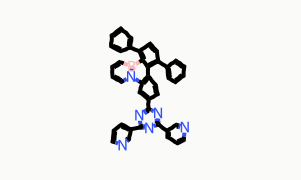 C1=CB2c3c(-c4ccccc4)ccc(-c4ccccc4)c3-c3ccc(-c4nc(-c5cccnc5)nc(-c5cccnc5)n4)cc3N2C=C1